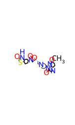 COc1ccc2ncc(=O)n(C3CCN(CC[C@@H]4CN(c5ccc6c(c5)NC(=O)CS6)C(=O)O4)CC3)c2n1